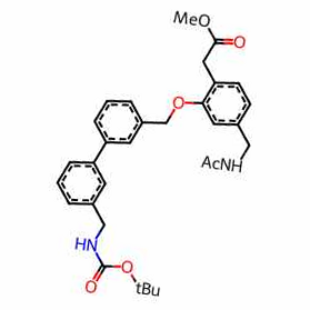 COC(=O)Cc1ccc(CNC(C)=O)cc1OCc1cccc(-c2cccc(CNC(=O)OC(C)(C)C)c2)c1